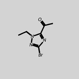 CCn1nc(Br)nc1C(C)=O